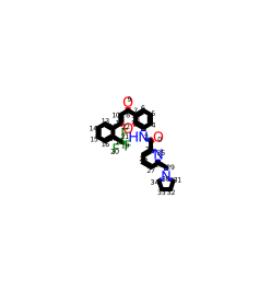 O=C(Nc1cccc2c(=O)cc(-c3ccccc3C(F)(F)F)oc12)c1cccc(CN2CCCC2)n1